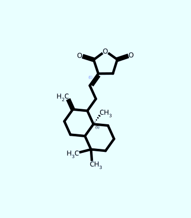 C=C1CCC2C(C)(C)CCC[C@]2(C)C1C/C=C1\CC(=O)OC1=O